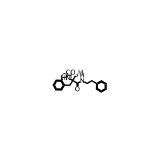 CC(Cc1ccccc1O)(NC(=O)O)C(=O)NCCc1ccccc1